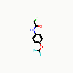 O=C(CCl)Nc1ccc(OC(F)F)cc1